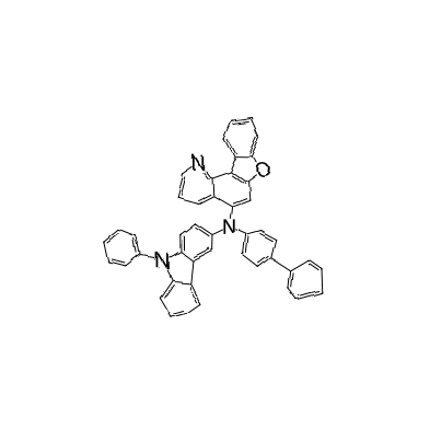 c1ccc(-c2ccc(N(c3ccc4c(c3)c3ccccc3n4-c3ccccc3)c3cc4oc5ccccc5c4c4ncccc34)cc2)cc1